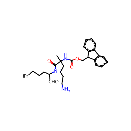 CC(C)CCCC(C=O)NC(=O)C(C)(CCCCN)NC(=O)OCC1c2ccccc2-c2ccccc21